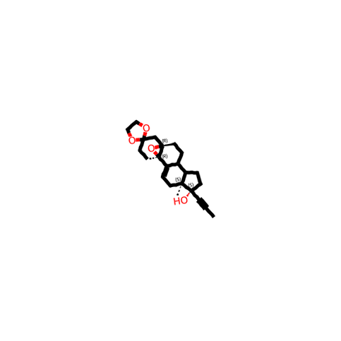 CC#C[C@]1(O)CCC2C3CC[C@@]45CC6(CC[C@@]4(O5)C3=CC[C@@]21C)OCCO6